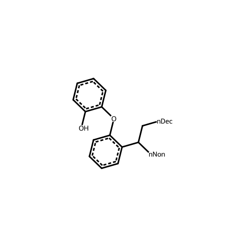 CCCCCCCCCCCC(CCCCCCCCC)c1ccccc1Oc1ccccc1O